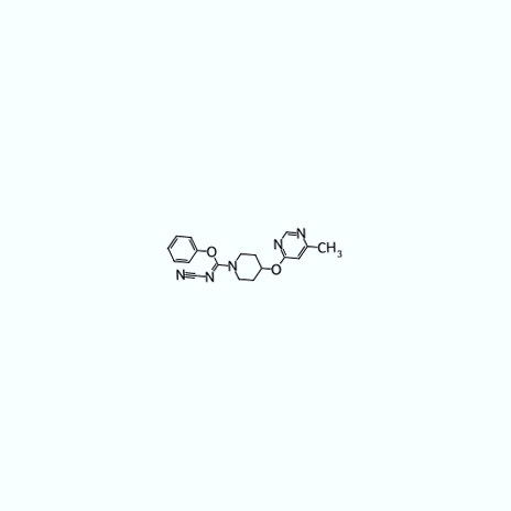 Cc1cc(OC2CCN(/C(=N/C#N)Oc3ccccc3)CC2)ncn1